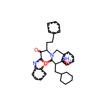 NC(=O)C(CC1CCCCC1)C(=O)N(Cc1ccccc1)C(CCc1ccccc1)C(=O)c1nc2ccccc2o1